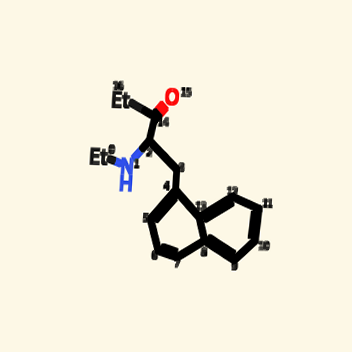 CCNC(Cc1cccc2ccccc12)C(=O)CC